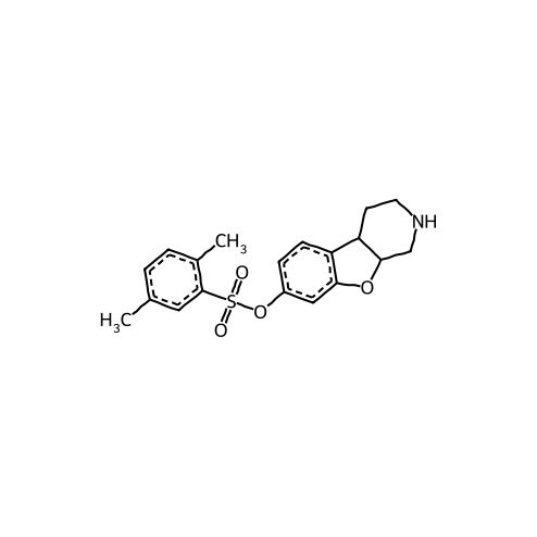 Cc1ccc(C)c(S(=O)(=O)Oc2ccc3c(c2)OC2CNCCC32)c1